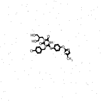 Cc1cnc(Oc2ccc(/N=c3\[nH]c(=O)n(CC(CO)CO)c(=O)n3Cc3ccc(Cl)cc3)cc2)s1